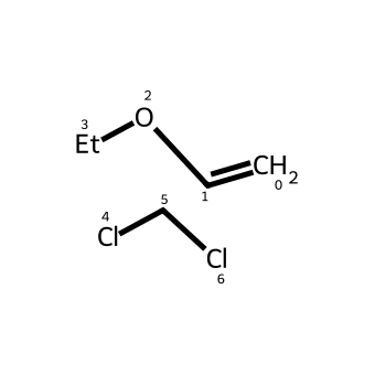 C=COCC.ClCCl